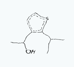 CC(C)c1sccc1C(C)O